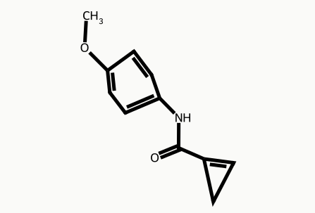 COc1ccc(NC(=O)C2=CC2)cc1